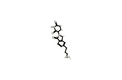 NCCCc1ccc2c(c1)CN(C1CCC(=O)NC1=O)C2=O